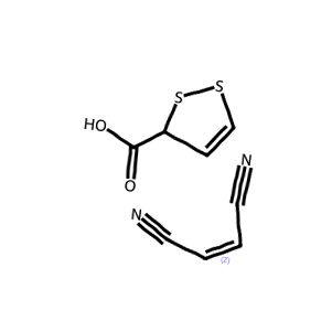 N#C/C=C\C#N.O=C(O)C1C=CSS1